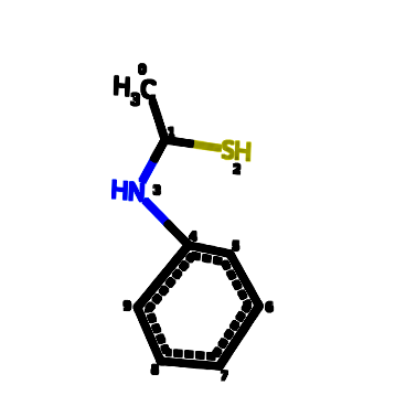 CC(S)Nc1ccccc1